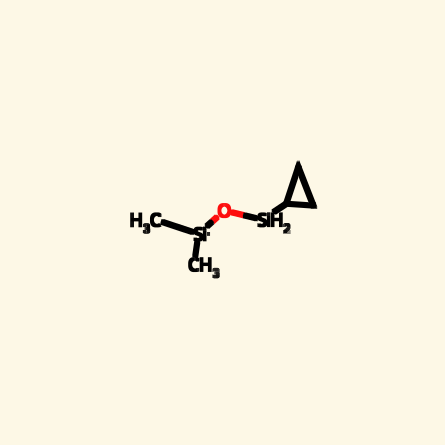 C[Si](C)O[SiH2]C1CC1